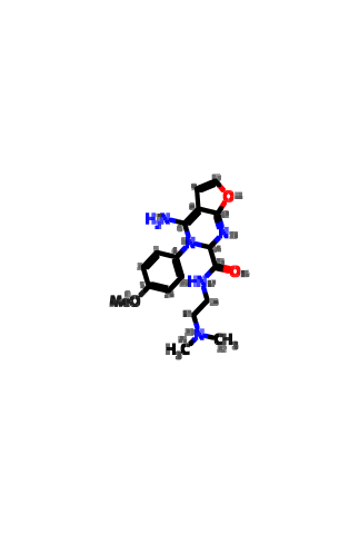 COc1ccc(N2C(N)=c3ccoc3=NC2C(=O)NCCN(C)C)cc1